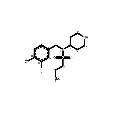 CC(C)(C)CCS(=O)(=O)N(Cc1ccc(Cl)c(Cl)c1)C1CCNCC1